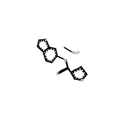 CS(=O)(=O)O.O=C(Oc1ccc2ccsc2c1)c1ccoc1